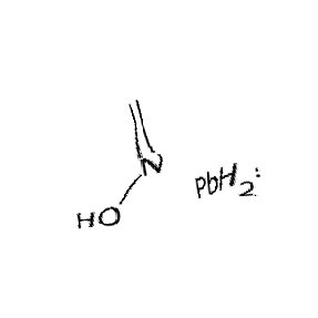 C=NO.[PbH2]